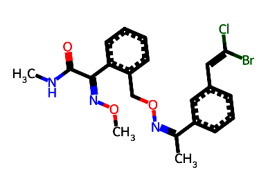 CNC(=O)/C(=N/OC)c1ccccc1CON=C(C)c1cccc(C=C(Cl)Br)c1